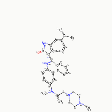 C=C(CC)c1ccc2c(c1)NC(=O)/C2=C(\Nc1ccc(N(C)C(=C)CN2CCN(C)CC2)cc1)c1ccccc1